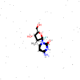 C[C@@H]1[C@H](O)[C@@H](CO)O[C@@]1(F)n1ccc(N)nc1=O